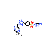 Cc1cnc(Cn2nnc(-c3ccc(S(=O)(=O)NCC#N)cc3)n2)cn1